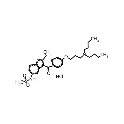 CCCCN(CCCC)CCCOc1ccc(C(=O)c2c(CC)sc3ccc(NS(C)(=O)=O)cc23)cc1.Cl